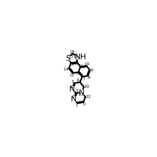 C1=CN=C2N=CC(c3cccc4c5c(ccc34)SCN5)CN2C1